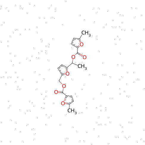 Cc1ccc(C(=O)OCc2ccc(C(C)OC(=O)c3ccc(C)o3)o2)o1